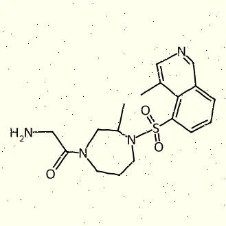 Cc1cncc2cccc(S(=O)(=O)N3CCCN(C(=O)CN)CC3C)c12